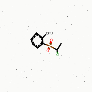 CC(Cl)S(=O)(=O)c1ccccc1C=O